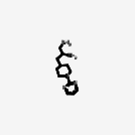 NCC(N)CC1CCN(c2ncccn2)CC1